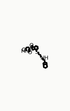 O=C1CCC(N2Cc3c(SCCCCNCCC4CC5CCCC(C5)C4)cccc3C2=O)C(=O)N1